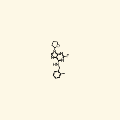 Cc1ccccc1CNc1nc(F)nc2c1ncn2C1CCCO1